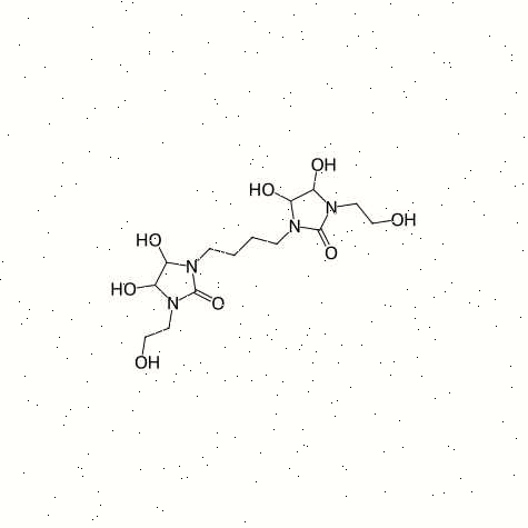 O=C1N(CCO)C(O)C(O)N1CCCCN1C(=O)N(CCO)C(O)C1O